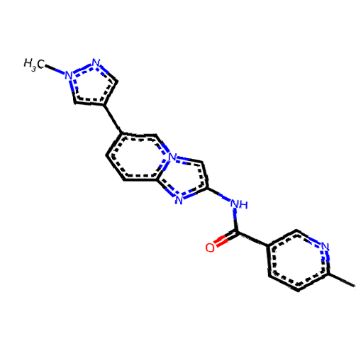 Cn1cc(-c2ccc3nc(NC(=O)c4ccc(C(C)(C)C)nc4)cn3c2)cn1